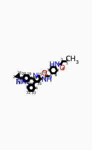 CCCC(=O)N[C@H]1CC[C@H](CC(=O)Nc2cnc(-c3ccc(C4(N)CC4)cc3)c(-c3ccccc3)c2)CC1